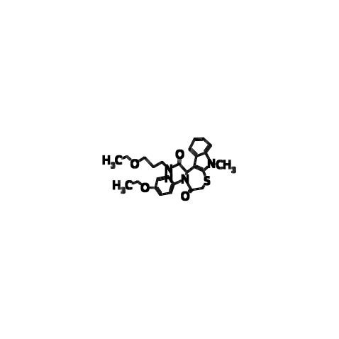 CCOCCCNC(=O)C1c2c(n(C)c3ccccc23)SCC(=O)N1c1ccc(OCC)cc1